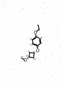 CCOc1ccc(O[C@H]2C[C@H](OC)C2)cc1